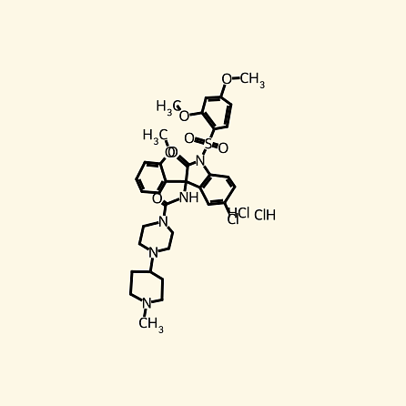 COc1ccc(S(=O)(=O)N2C(=O)C(NC(=O)N3CCN(C4CCN(C)CC4)CC3)(c3ccccc3OC)c3cc(Cl)ccc32)c(OC)c1.Cl.Cl